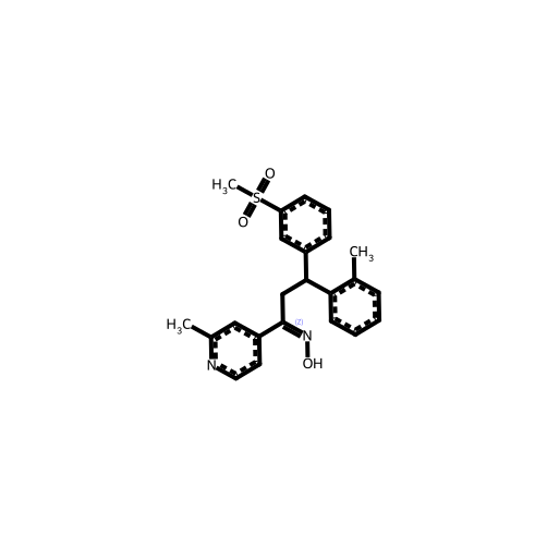 Cc1cc(/C(CC(c2cccc(S(C)(=O)=O)c2)c2ccccc2C)=N\O)ccn1